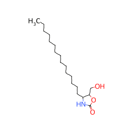 CCCCCCCCCCCCCCCC1NC(=O)OC1CO